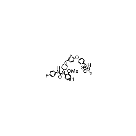 COc1ccccc1N(C(=O)Nc1ccc(F)cc1)C1CCN(Cc2ccc(Oc3ccc(NS(C)(=O)=O)cc3)nc2)CC1.Cl